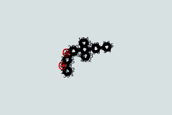 C1=C(c2ccccc2)CCC(c2c3ccccc3c(-c3ccc4oc5cc6oc7ccccc7c6cc5c4c3)c3ccccc23)=C1